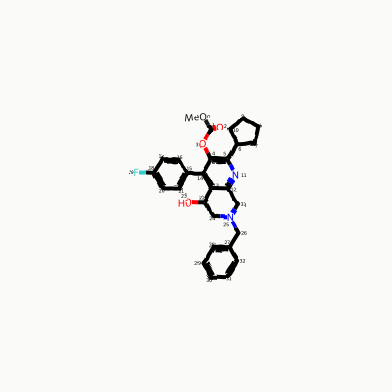 COC(=O)Oc1c(C2CCCC2)nc2c(c1-c1ccc(F)cc1)C(O)CN(Cc1ccccc1)C2